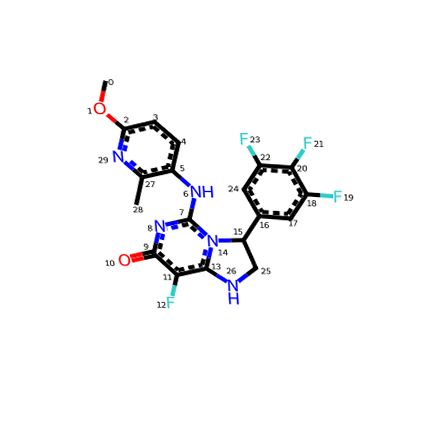 COc1ccc(Nc2nc(=O)c(F)c3n2C(c2cc(F)c(F)c(F)c2)CN3)c(C)n1